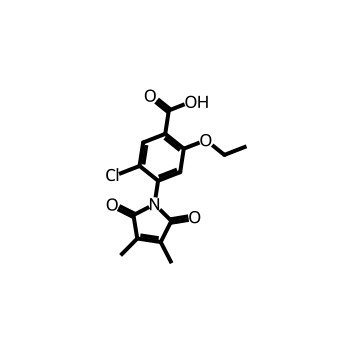 CCOc1cc(N2C(=O)C(C)=C(C)C2=O)c(Cl)cc1C(=O)O